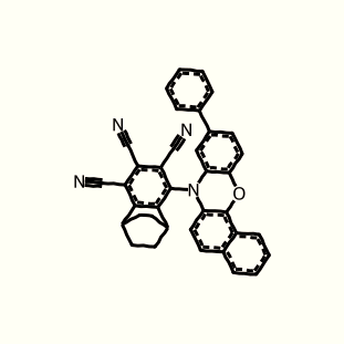 N#Cc1c(C#N)c2c(c(N3c4cc(-c5ccccc5)ccc4Oc4c3ccc3ccccc43)c1C#N)C1CCC2CC1